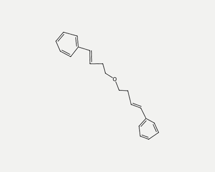 C(=Cc1ccccc1)CCOCCC=Cc1ccccc1